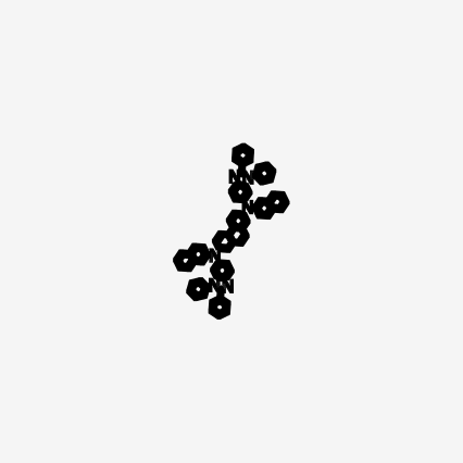 C1=CC2c3ccc(N(c4ccc5ccccc5c4)c4ccc5nc(-c6ccccc6)n(-c6ccccc6)c5c4)cc3C=CC2C=C1N(c1ccc2ccccc2c1)c1ccc2nc(-c3ccccc3)n(-c3ccccc3)c2c1